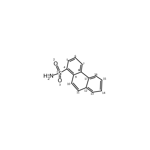 NS(=O)(=O)c1cccc2c1ccc1ccccc12